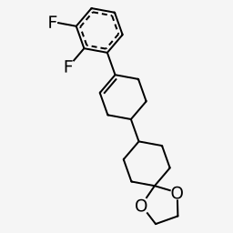 Fc1cccc(C2=CCC(C3CCC4(CC3)OCCO4)CC2)c1F